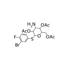 CC(=O)OCC1OC(Sc2ccc(F)c(Br)c2)C(OC(C)=O)C(N)C1OC(C)=O